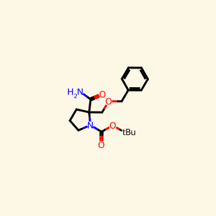 CC(C)(C)OC(=O)N1CCCC1(COCc1ccccc1)C(N)=O